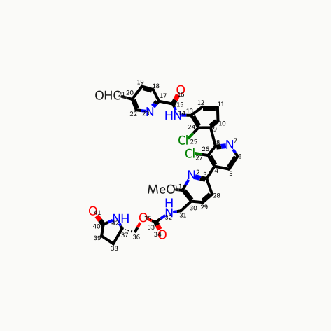 COc1nc(-c2ccnc(-c3cccc(NC(=O)c4ccc(C=O)cn4)c3Cl)c2Cl)ccc1CNC(=O)OC[C@@H]1CCC(=O)N1